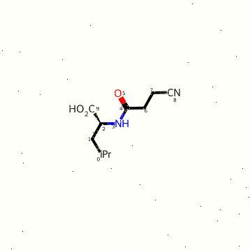 CC(C)C[C@H](NC(=O)CCC#N)C(=O)O